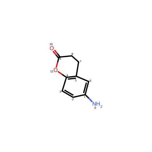 Nc1ccc2c(c1)CCC(=O)O2